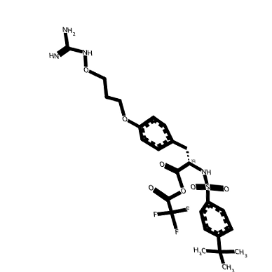 CC(C)(C)c1ccc(S(=O)(=O)N[C@@H](Cc2ccc(OCCCONC(=N)N)cc2)C(=O)OC(=O)C(F)(F)F)cc1